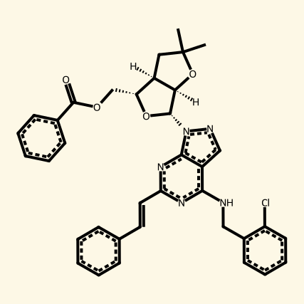 CC1(C)C[C@H]2[C@@H](O1)[C@H](n1ncc3c(NCc4ccccc4Cl)nc(/C=C/c4ccccc4)nc31)O[C@@H]2COC(=O)c1ccccc1